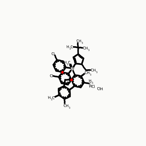 Cl.Cl.[CH2]=[Zr]([C]1=CC(C(C)(C)C)=CC1CC)([c]1cccc(Cl)c1)([c]1cccc(Cl)c1)[c]1c(C)c(C)cc2c1Cc1cc(C)c(C)cc1-2